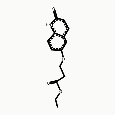 CCOC(=O)CCOc1ccc2[nH]c(=O)ccc2c1